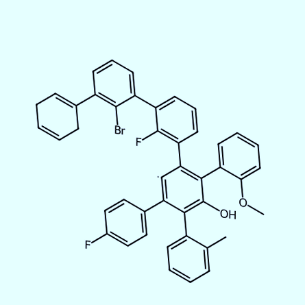 COc1ccccc1-c1c(-c2cccc(-c3cccc(C4=CCC=CC4)c3Br)c2F)[c]c(-c2ccc(F)cc2)c(-c2ccccc2C)c1O